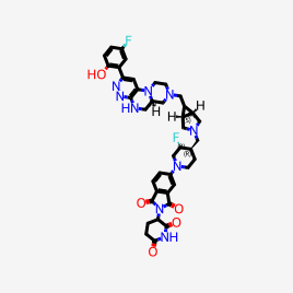 O=C1CCC(N2C(=O)c3ccc(N4CC[C@H](CN5C[C@@H]6C(CN7CCN8c9cc(-c%10cc(F)ccc%10O)nnc9NC[C@H]8C7)[C@@H]6C5)[C@@H](F)C4)cc3C2=O)C(=O)N1